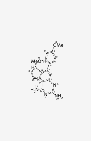 COc1ccc(-c2cc3nc(N)nc(N)c3c3cc[nH]c23)c(OC)c1